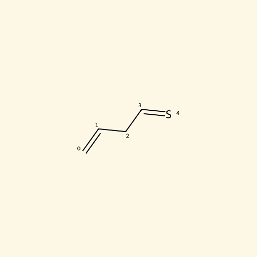 C=CCC=S